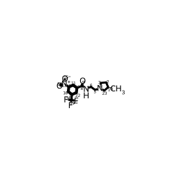 C[C@H]1CCN(CCNC(=O)c2cc([N+](=O)[O-])cc(C(F)(F)F)c2)C1